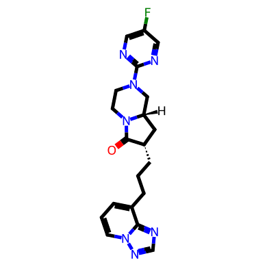 O=C1[C@@H](CCCc2cccn3ncnc23)C[C@H]2CN(c3ncc(F)cn3)CCN12